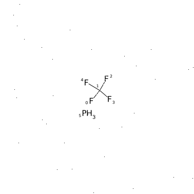 FC(F)(F)F.P